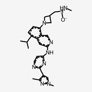 CN[S+]([O-])CC1CN(c2ccc(C(C)C)c3cc(Nc4ccnc(-c5cn(C)nc5C)n4)ncc23)C1